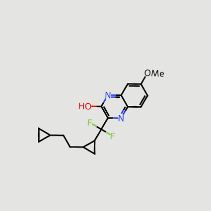 COc1ccc2nc(C(F)(F)C3CC3CCC3CC3)c(O)nc2c1